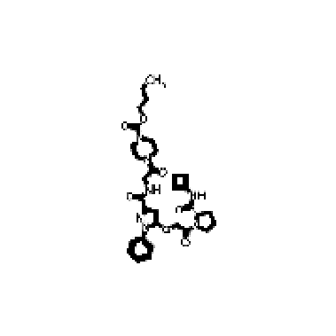 CCCCOC(=O)N1CCN(C(=O)CNC(=O)c2cc(OCC(=O)N3CCC[C@H]3C(=O)NC3CCC3)n(-c3ccccc3)n2)CC1